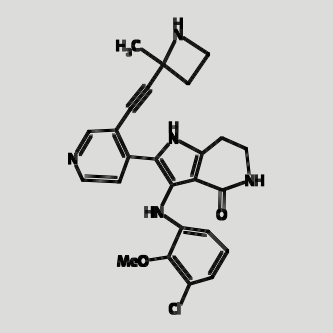 COc1c(Cl)cccc1Nc1c(-c2ccncc2C#CC2(C)CCN2)[nH]c2c1C(=O)NCC2